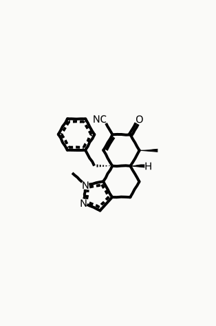 C[C@@H]1C(=O)C(C#N)=C[C@]2(Cc3ccccc3)c3c(cnn3C)CC[C@@H]12